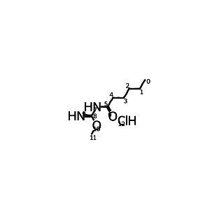 CCCCCC(=O)NC(=N)OC.Cl